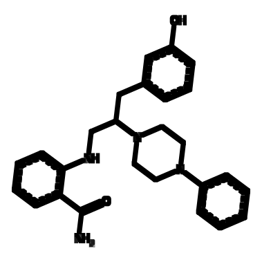 NC(=O)c1ccccc1NCC(Cc1cccc(O)c1)N1CCN(c2ccccc2)CC1